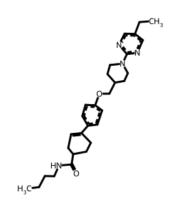 CCCCNC(=O)C1CC=C(c2ccc(OCC3CCN(c4ncc(CC)cn4)CC3)cc2)CC1